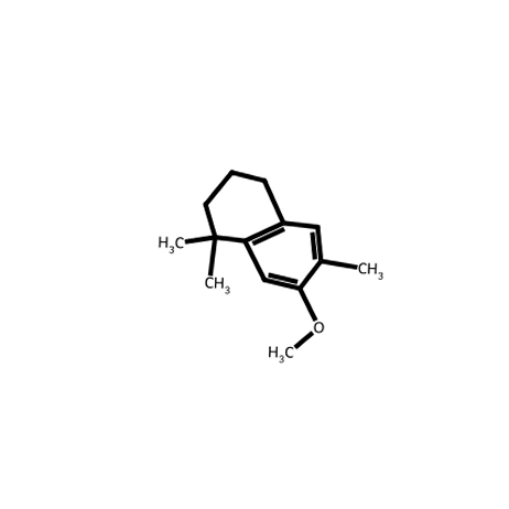 COc1cc2c(cc1C)CCCC2(C)C